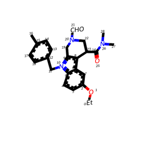 CCOc1ccc2c(c1)c1c(n2Cc2ccc(C)cc2)CN(C=O)CC1C(=O)N(C)C